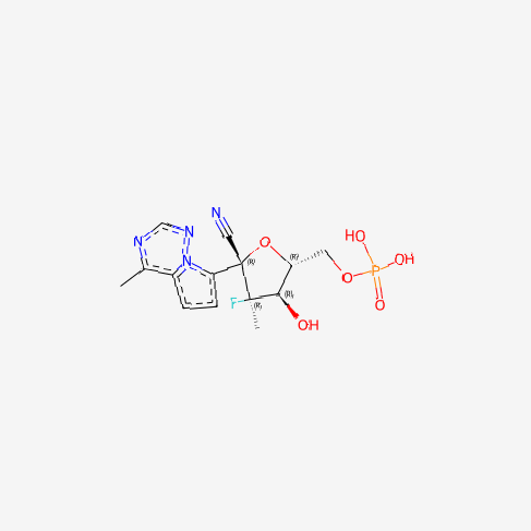 Cc1ncnn2c([C@]3(C#N)O[C@H](COP(=O)(O)O)[C@@H](O)[C@@]3(C)F)ccc12